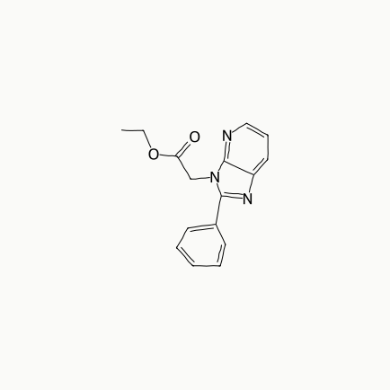 CCOC(=O)Cn1c(-c2ccccc2)nc2cccnc21